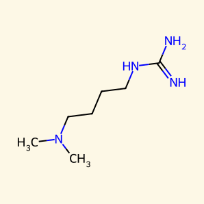 CN(C)CCCCNC(=N)N